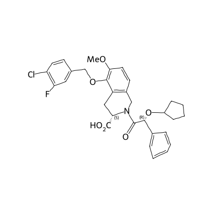 COc1ccc2c(c1OCc1ccc(Cl)c(F)c1)C[C@@H](C(=O)O)N(C(=O)[C@H](OC1CCCC1)c1ccccc1)C2